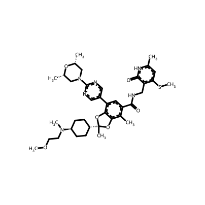 COCCN(C)[C@H]1CC[C@H](C2(C)Oc3c(-c4cnc(N5C[C@@H](C)O[C@@H](C)C5)nc4)cc(C(=O)NCc4c(SC)cc(C)[nH]c4=O)c(C)c3O2)CC1